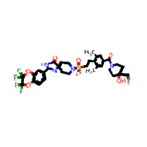 Cc1cc(C(=O)N2CCC(O)(CF)CC2)cc(C)c1CCS(=O)(=O)N1CCC2(CC1)N=C(c1ccc3c(c1)OC(F)(F)C(F)(F)O3)NC2=O